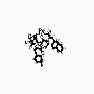 CCC(N)(CC)C(=O)NC(Cc1ccc(F)cc1)C(=O)N1CCN(C(Cc2ccc3ccccc3c2)C(=O)NC(C)C)C(=O)C1CC1CC1